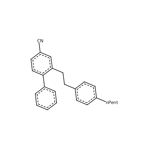 CCCCCc1ccc(CCc2cc(C#N)ccc2-c2ccccc2)cc1